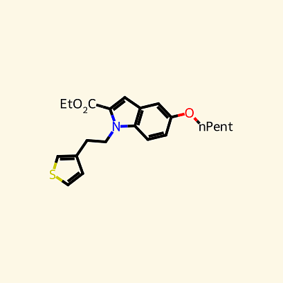 CCCCCOc1ccc2c(c1)cc(C(=O)OCC)n2CCc1ccsc1